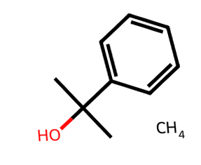 C.CC(C)(O)c1ccccc1